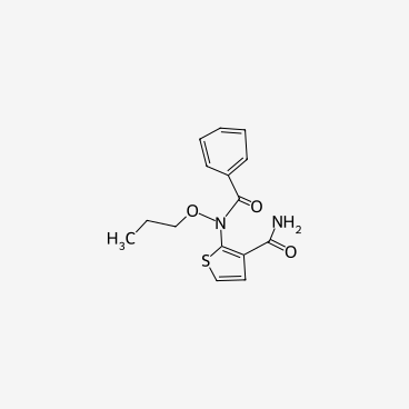 CCCON(C(=O)c1ccccc1)c1sccc1C(N)=O